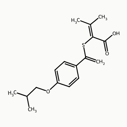 C=C(SC(C(=O)O)=C(C)C)c1ccc(OCC(C)C)cc1